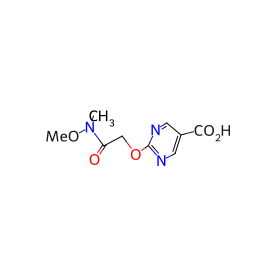 CON(C)C(=O)COc1ncc(C(=O)O)cn1